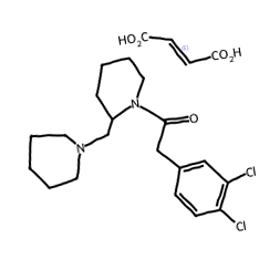 O=C(Cc1ccc(Cl)c(Cl)c1)N1CCCCC1CN1CCCCC1.O=C(O)/C=C/C(=O)O